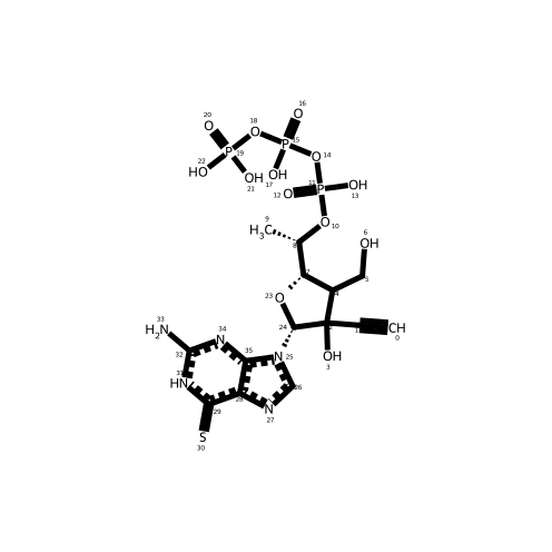 C#CC1(O)C(CO)[C@@H]([C@H](C)OP(=O)(O)OP(=O)(O)OP(=O)(O)O)O[C@H]1n1cnc2c(=S)[nH]c(N)nc21